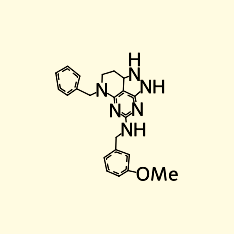 COc1cccc(CNc2nc3c4c(n2)N(Cc2ccccc2)CCC4NN3)c1